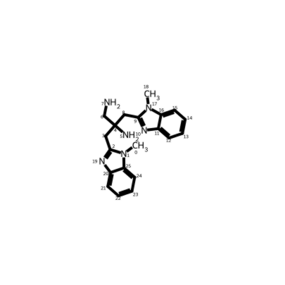 Cn1c(CC(N)(CN)Cc2nc3ccccc3n2C)nc2ccccc21